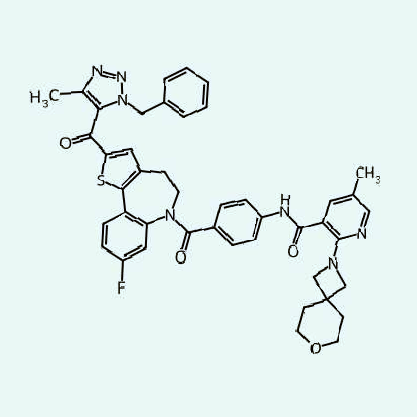 Cc1cnc(N2CC3(CCOCC3)C2)c(C(=O)Nc2ccc(C(=O)N3CCc4cc(C(=O)c5c(C)nnn5Cc5ccccc5)sc4-c4ccc(F)cc43)cc2)c1